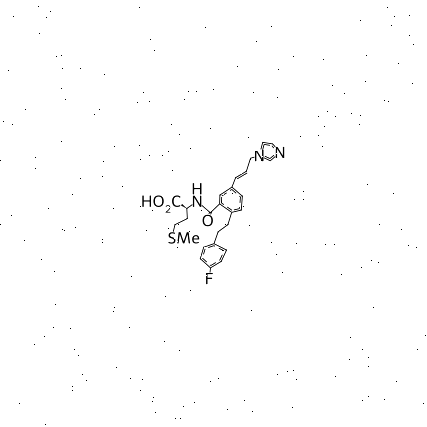 CSCC[C@H](NC(=O)c1cc(C=CCn2ccnc2)ccc1CCc1ccc(F)cc1)C(=O)O